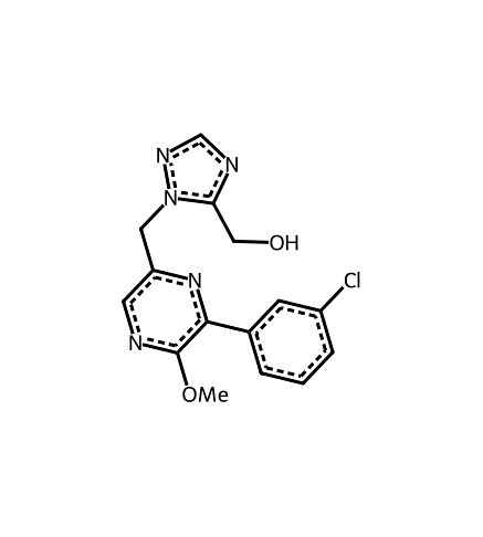 COc1ncc(Cn2ncnc2CO)nc1-c1cccc(Cl)c1